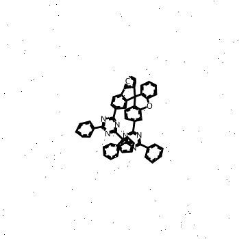 c1ccc(-c2nc(-c3ccccc3)nc(-c3ccc4c(c3)Oc3ccccc3C43c4ccccc4-c4ccc(-c5nc(-c6ccccc6)nc(-c6ccccc6)n5)cc43)n2)cc1